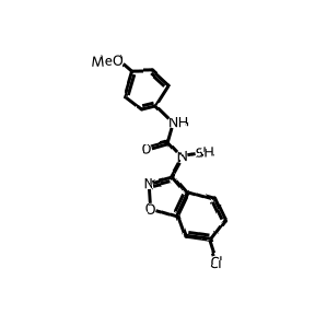 COc1ccc(NC(=O)N(S)c2noc3cc(Cl)ccc23)cc1